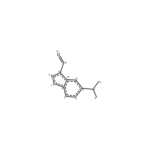 CC(C)c1ccc2snc(C=O)c2c1